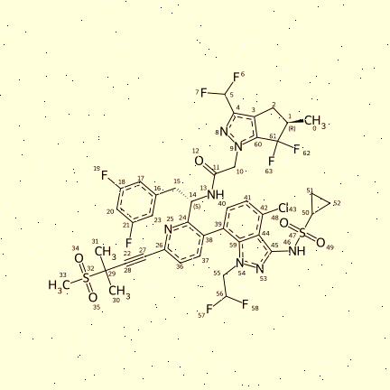 C[C@@H]1Cc2c(C(F)F)nn(CC(=O)N[C@@H](Cc3cc(F)cc(F)c3)c3nc(C#CC(C)(C)S(C)(=O)=O)ccc3-c3ccc(Cl)c4c(NS(=O)(=O)C5CC5)nn(CC(F)F)c34)c2C1(F)F